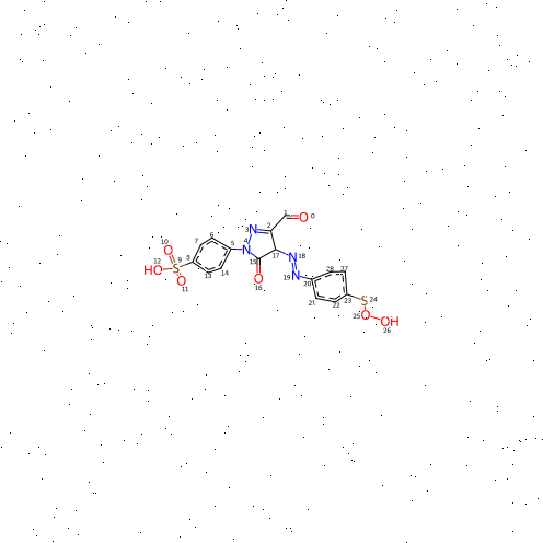 O=CC1=NN(c2ccc(S(=O)(=O)O)cc2)C(=O)C1N=Nc1ccc(SOO)cc1